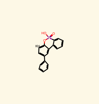 O=P1(O)Oc2ccc(-c3ccccc3)cc2-c2ccccc21.[KH]